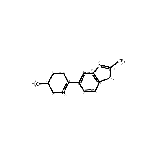 CC1CCC(c2ccc3sc(C(F)(F)F)nc3c2)=NC1